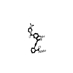 CNC(=O)c1ccccc1C#Cc1n[nH]c2ccc(C(=O)N3CC[C@@H](N(C)C)C3)cc12